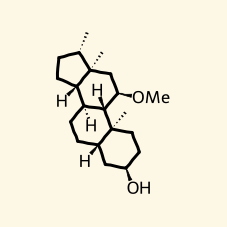 CO[C@@H]1C[C@]2(C)[C@@H](C)CC[C@H]2[C@@H]2CC[C@H]3C[C@H](O)CC[C@]3(C)[C@H]21